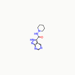 O=C(NN1CCCCC1)c1[nH]nc2ncncc12